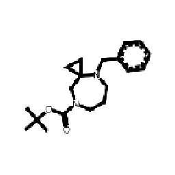 CC(C)(C)OC(=O)N1CCCN(Cc2ccccc2)C2(CC2)C1